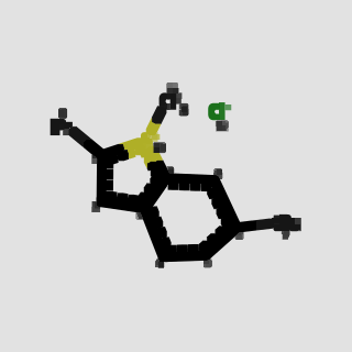 CC(C)c1cc2ccc(C(C)(C)C)cc2[s+]1C(F)(F)F.[Cl-]